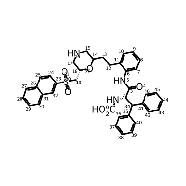 O=C(O)N[C@H](C(=O)Nc1ccccc1CCC1CNC[C@@H](CS(=O)(=O)c2ccc3ccccc3c2)O1)C(c1ccccc1)c1ccccc1